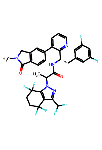 CC(C(=O)N[C@@H](Cc1cc(F)cc(F)c1)c1ncccc1-c1ccc2c(c1)CN(C)C2=O)n1nc(C(F)F)c2c1C(F)(F)CCC2(F)F